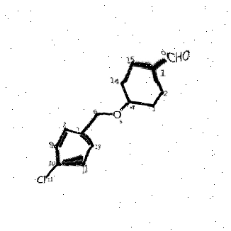 O=CC1CCC(OCc2ccc(Cl)cc2)CC1